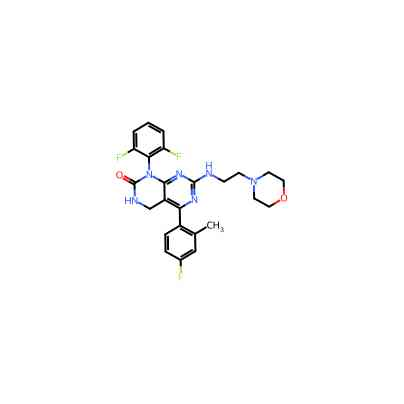 Cc1cc(F)ccc1-c1nc(NCCN2CCOCC2)nc2c1CNC(=O)N2c1c(F)cccc1F